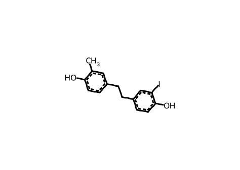 Cc1cc(CCc2ccc(O)c(I)c2)ccc1O